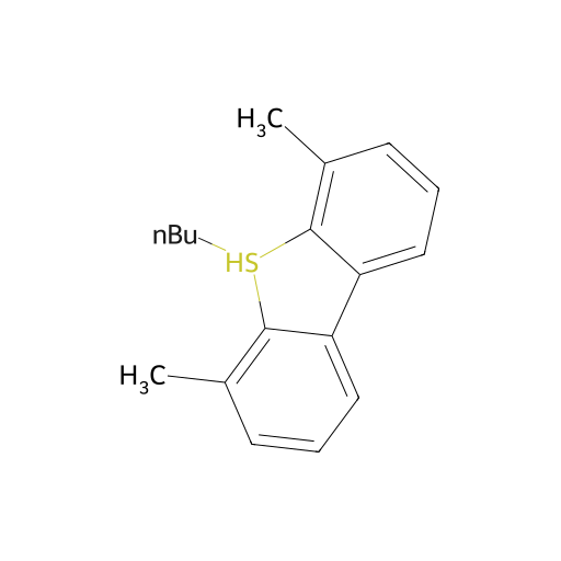 CCCC[SH]1c2c(C)cccc2-c2cccc(C)c21